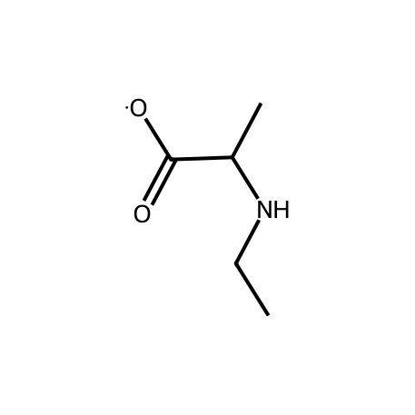 CCNC(C)C([O])=O